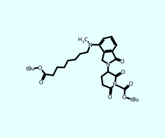 CN(CCCCCCCC(=O)OC(C)(C)C)c1cccc2c1CN(C1CCC(=O)N(C(=O)OC(C)(C)C)C1=O)C2=O